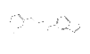 CN1CCC=C(COCC(O)c2ccc3sccc3c2)C1